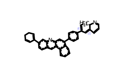 CC/C=C(\C=C1\C=CC=NC1C)c1ccc(-c2cc3nc4cc(C5=CCCC=C5)ccc4cc3c3ccccc23)cc1